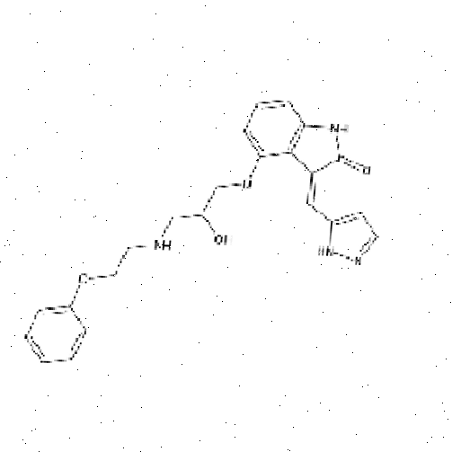 O=C1Nc2cccc(OCC(O)CNCCOc3ccccc3)c2C1=Cc1ccn[nH]1